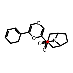 O=C1CC2CCC(C1)N2C(=O)C1=COC=C(C2=CC=CCC2)O1